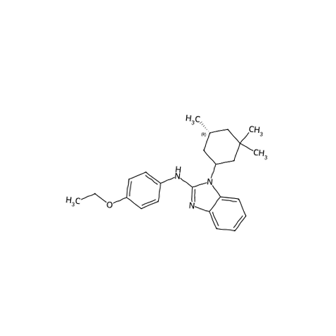 CCOc1ccc(Nc2nc3ccccc3n2C2C[C@H](C)CC(C)(C)C2)cc1